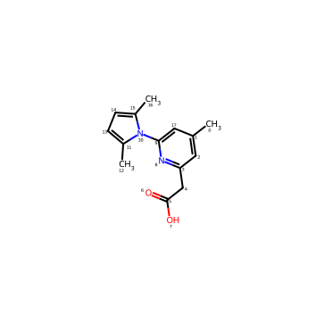 Cc1cc(CC(=O)O)nc(-n2c(C)ccc2C)c1